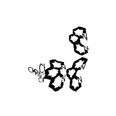 [Cl][Ru-]([Cl])[Cl].c1cnc2c(c1)ccc1cccnc12.c1cnc2c(c1)ccc1cccnc12.c1cnc2c(c1)ccc1cccnc12